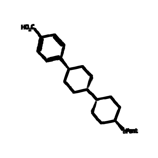 CCCCC[C@H]1CC[C@H]([C@H]2CC[C@H](c3ccc(C(=O)O)cc3)CC2)CC1